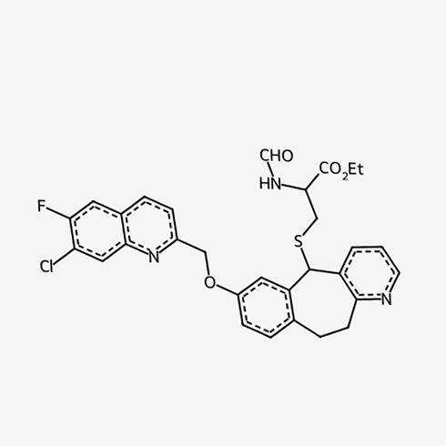 CCOC(=O)C(CSC1c2cc(OCc3ccc4cc(F)c(Cl)cc4n3)ccc2CCc2ncccc21)NC=O